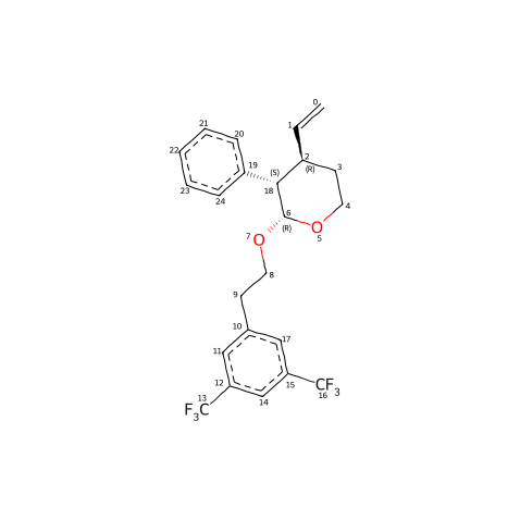 C=C[C@H]1CCO[C@H](OCCc2cc(C(F)(F)F)cc(C(F)(F)F)c2)[C@@H]1c1ccccc1